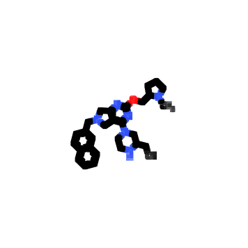 CN1CCCC1COc1nc2c(c(N3CCNC(CC#N)C3)n1)CN(Cc1ccc3ccccc3c1)C2